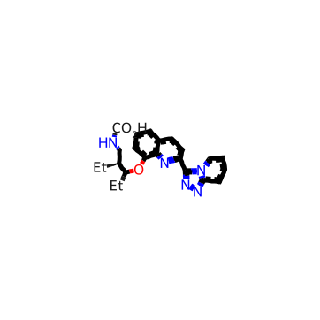 CCC(Oc1cccc2ccc(-c3nnc4ccccn34)nc12)[C@@H](CC)CNC(=O)O